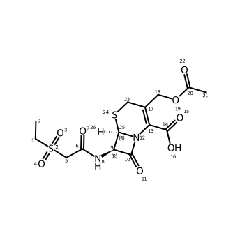 CCS(=O)(=O)CC(=O)N[C@@H]1C(=O)N2C(C(=O)O)=C(COC(C)=O)CS[C@H]12